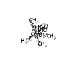 CCCCOCC1O[C@@H](OC(=N)C(Cl)(Cl)Cl)[C@@H](OCCCC)C(OCCCC)[C@@H]1OCCCC